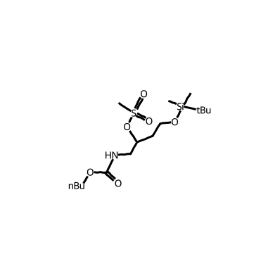 CCCCOC(=O)NCC(CCO[Si](C)(C)C(C)(C)C)OS(C)(=O)=O